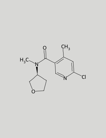 Cc1cc(Cl)ncc1C(=O)N(C)[C@H]1CCOC1